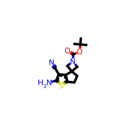 CC(C)(C)OC(=O)N1CC2(CCc3sc(N)c(C#N)c32)C1